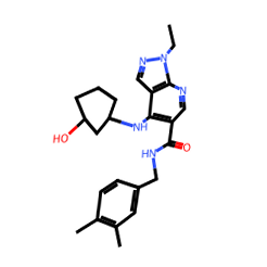 CCn1ncc2c(NC3CCCC(O)C3)c(C(=O)NCc3ccc(C)c(C)c3)cnc21